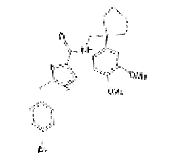 CCc1ccc(Cc2nc(C(=O)NCC3(c4ccc(OC)c(OC)c4)CCCC3)cs2)cc1